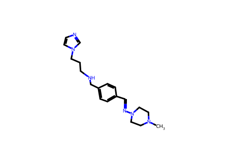 CN1CCN(/N=C/c2ccc(CNCCCn3ccnc3)cc2)CC1